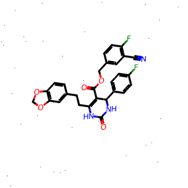 N#Cc1cc(COC(=O)C2=C(CCc3ccc4c(c3)OCO4)NC(=O)NC2c2ccc(F)cc2)ccc1F